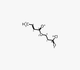 CC=CC(=O)OCCC(=O)Cl